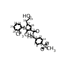 Cc1c(C(=O)Nc2ccc(S(C)(=O)=O)cc2)cc(CCO)n1-c1ccccc1C(F)(F)F